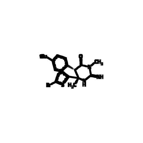 CN1C(=N)N[C@](C)(c2ccc(Br)s2)[C@H](c2ccc(C(C)(C)C)cc2)C1=O